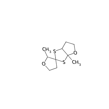 CC1OCCC12SC1CCOC1(C)S2